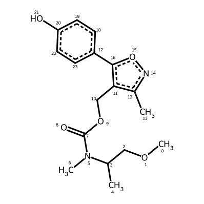 COCC(C)N(C)C(=O)OCc1c(C)noc1-c1ccc(O)cc1